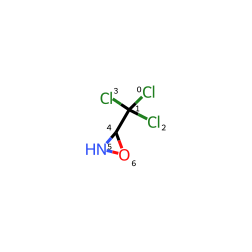 ClC(Cl)(Cl)C1NO1